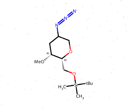 CO[C@@H]1CC(N=[N+]=[N-])CO[C@@H]1CO[Si](C)(C)C(C)(C)C